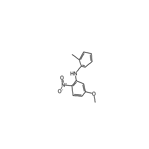 COc1ccc([N+](=O)[O-])c(Nc2ccccc2C)c1